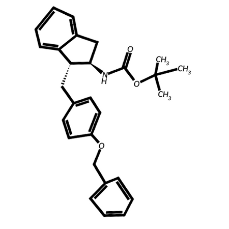 CC(C)(C)OC(=O)N[C@@H]1Cc2ccccc2[C@H]1Cc1ccc(OCc2ccccc2)cc1